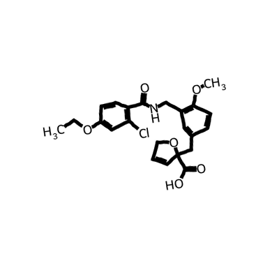 CCOc1ccc(C(=O)NCc2cc(CC3(C(=O)O)C=CCO3)ccc2OC)c(Cl)c1